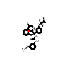 O=C(Nc1cccc(OC(F)(F)F)c1)N[C@@](Cc1ccccc1)(c1cccc(OC(F)(F)C(F)F)c1)c1ccc(I)cn1